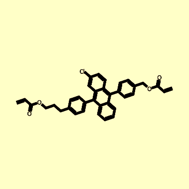 C=CC(=O)OCCCc1ccc(-c2c3ccccc3c(-c3ccc(COC(=O)C=C)cc3)c3ccc(Cl)cc23)cc1